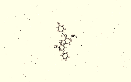 N#Cc1c(-c2ccc(N)c(OCc3ccc(F)cc3)c2)cc(-c2ccccc2)nc1Cl